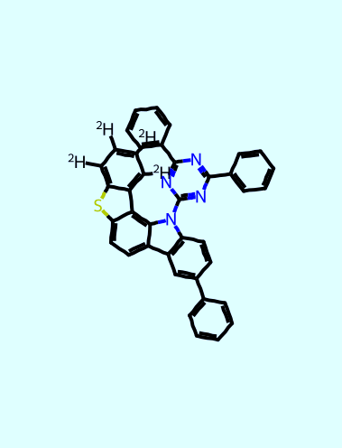 [2H]c1c([2H])c([2H])c2c(sc3ccc4c5cc(-c6ccccc6)ccc5n(-c5nc(-c6ccccc6)nc(-c6ccccc6)n5)c4c32)c1[2H]